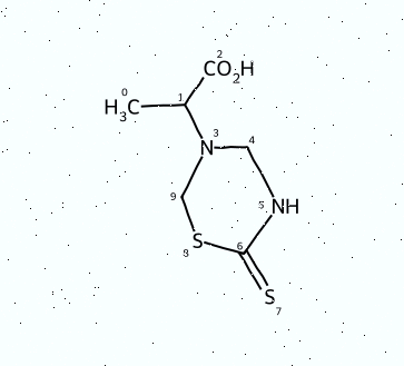 CC(C(=O)O)N1CNC(=S)SC1